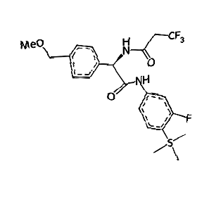 COCc1ccc([C@@H](NC(=O)CC(F)(F)F)C(=O)Nc2ccc(S(C)(C)C)c(F)c2)cc1